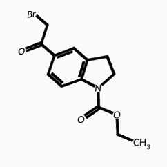 CCOC(=O)N1CCc2cc(C(=O)CBr)ccc21